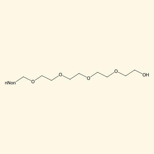 CCCCCCCCCCOCCOCCOCCOCCO